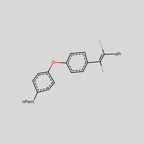 CCCCCc1ccc(Oc2ccc(/C(F)=C(\F)CCC)cc2)cc1